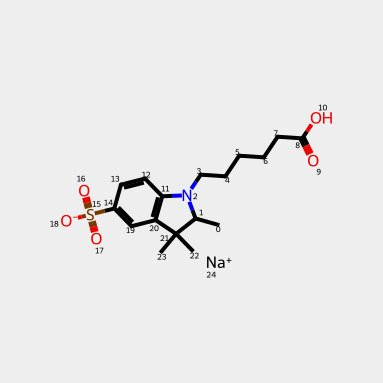 CC1N(CCCCCC(=O)O)c2ccc(S(=O)(=O)[O-])cc2C1(C)C.[Na+]